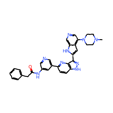 CN1CCN(c2cncc3[nH]c(-c4n[nH]c5ccc(-c6cncc(NC(=O)Cc7ccccc7)c6)nc45)cc23)CC1